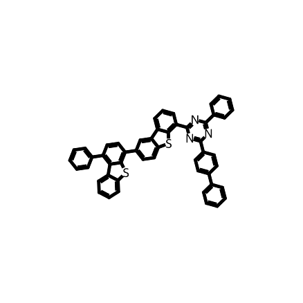 c1ccc(-c2ccc(-c3nc(-c4ccccc4)nc(-c4cccc5c4sc4ccc(-c6ccc(-c7ccccc7)c7c6sc6ccccc67)cc45)n3)cc2)cc1